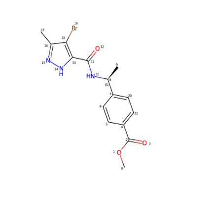 COC(=O)c1ccc([C@H](C)NC(=O)c2[nH]nc(C)c2Br)cc1